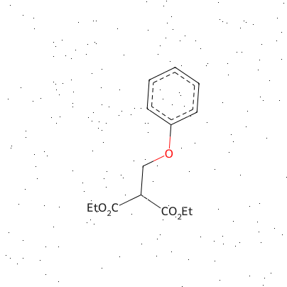 CCOC(=O)C(COc1ccccc1)C(=O)OCC